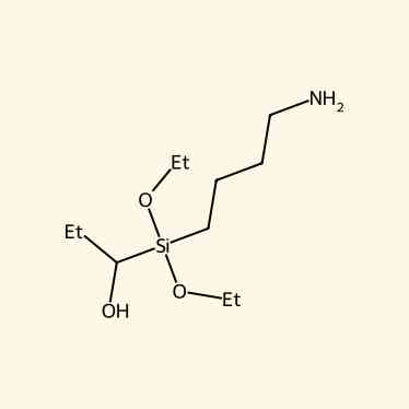 CCO[Si](CCCCN)(OCC)C(O)CC